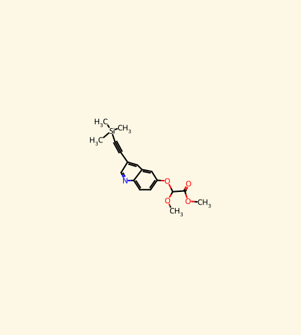 COC(=O)C(OC)Oc1ccc2ncc(C#C[Si](C)(C)C)cc2c1